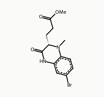 COC(=O)CC[C@H]1C(=O)Nc2cc(Br)ccc2N1C